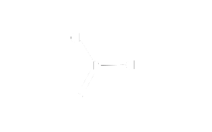 S=[P](Cl)Cl